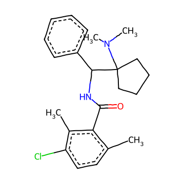 Cc1ccc(Cl)c(C)c1C(=O)NC(c1ccccc1)C1(N(C)C)CCCC1